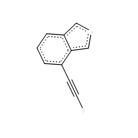 FC#Cc1cccc2[c]scc12